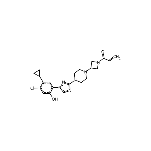 C=CC(=O)N1CC(N2CCN(c3ncn(-c4cc(C5CC5)c(Cl)cc4O)n3)CC2)C1